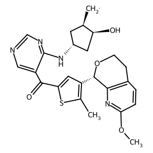 [CH2][C@@H]1C[C@@H](Nc2ncncc2C(=O)c2cc([C@@H]3OCCc4ccc(OC)nc43)c(C)s2)C[C@@H]1O